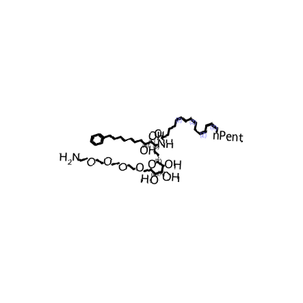 CCCCC/C=C\C/C=C\C/C=C\C/C=C\CCCC(=O)N[C@@H](CC[C@H]1OC(COCCOCCOCCOCCN)[C@H](O)[C@H](O)C1O)[C@H](O)[C@@H](O)CCCCCCCc1ccccc1